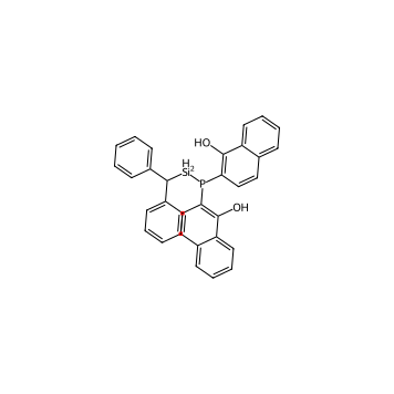 Oc1c(P([SiH2]C(c2ccccc2)c2ccccc2)c2ccc3ccccc3c2O)ccc2ccccc12